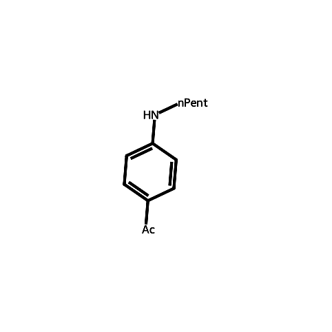 CCCCCNc1ccc(C(C)=O)cc1